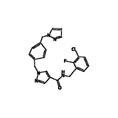 O=C(NCc1cccc(Cl)c1F)c1cnn(Cc2ccc(Cn3cccn3)cc2)c1